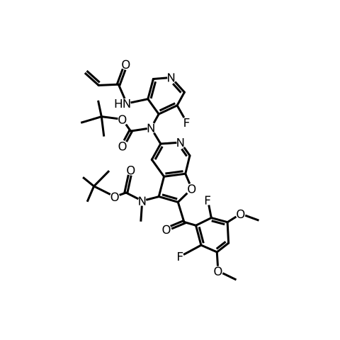 C=CC(=O)Nc1cncc(F)c1N(C(=O)OC(C)(C)C)c1cc2c(N(C)C(=O)OC(C)(C)C)c(C(=O)c3c(F)c(OC)cc(OC)c3F)oc2cn1